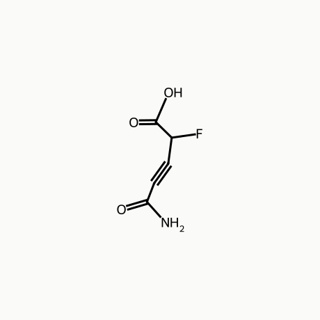 NC(=O)C#CC(F)C(=O)O